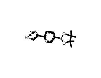 CC1(C)OB(c2ccc(-c3c[nH]nn3)nc2)OC1(C)C